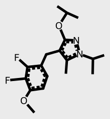 COc1ccc(Cc2c(OC(C)C)nn(C(C)C)c2C)c(F)c1F